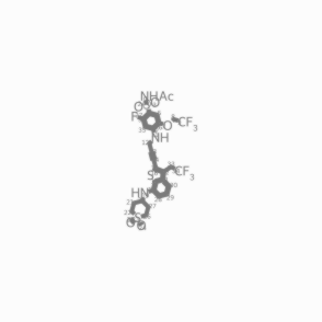 CC(=O)NS(=O)(=O)c1cc(OCC(F)(F)F)c(NCC#Cc2sc3c(NC4CCS(=O)(=O)CC4)cccc3c2CC(F)(F)F)cc1F